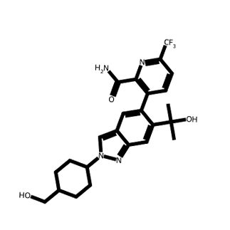 CC(C)(O)c1cc2nn(C3CCC(CO)CC3)cc2cc1-c1ccc(C(F)(F)F)nc1C(N)=O